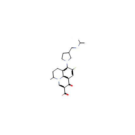 CC(C)NCC1CCN(c2c(F)cc3c(=O)c(C(=O)O)cn4c3c2CCC4C)C1